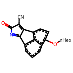 CCCCCCOc1ccc2c3c(cccc13)C1=NC(=O)C(C#N)=C12